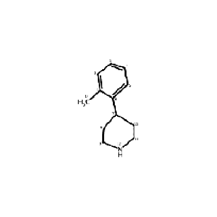 Cc1c[c]ccc1C1CCNCC1